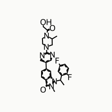 CC1CN(c2ncc(-c3ccc4c(=O)n(C)n(C(C)c5cc(F)ccc5F)c4c3)cn2)CCN1C(=O)CO